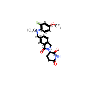 O=C1CCC(N2Cc3ccc(CN(C(=O)O)c4ccc(OC(F)(F)F)cc4F)cc3C2=O)C(=O)N1